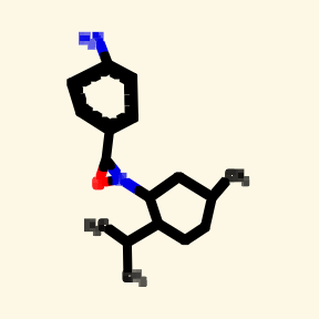 CC1CCC(C(C)C)C(N2OC2c2ccc(N)cc2)C1